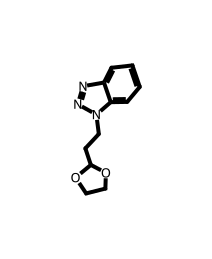 c1ccc2c(c1)nnn2CCC1OCCO1